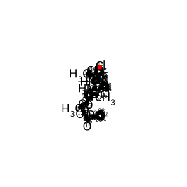 COc1cc(C(=O)OC(C)OC(=O)N(CC=O)OCc2ccccc2)ccc1NC(=O)[C@@H]1N[C@@H](CC(C)(C)C)[C@](C#N)(c2ccc(Cl)cc2F)[C@H]1c1cccc(Cl)c1F